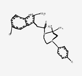 CC1(C)CN(c2ccc(Cl)cc2)CCN1C(=O)Cc1c(C(=O)O)[nH]c2ccc(Cl)cc12